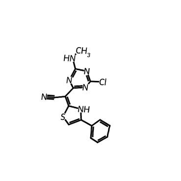 CNc1nc(Cl)nc(C(C#N)=C2NC(c3ccccc3)=CS2)n1